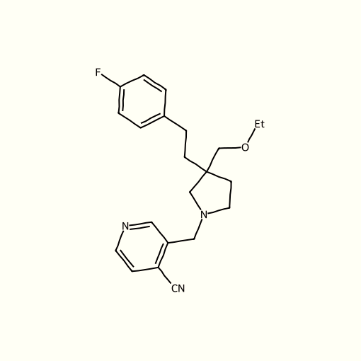 CCOCC1(CCc2ccc(F)cc2)CCN(Cc2cnccc2C#N)C1